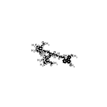 COc1ccc(C(OC[C@@H](O)COC(=O)NCCNC(=O)[C@H](CCCCNC(=O)CO[C@@H]2O[C@H](COC(C)=O)[C@H](OC(C)=O)[C@H](OC(C)=O)[C@H]2CC(N)=O)NC(=O)CO[C@@H]2O[C@H](COC(C)=O)[C@H](OC(C)=O)[C@H](OC(C)=O)[C@H]2CC(N)=O)(c2ccccc2)c2ccc(OC)cc2)cc1